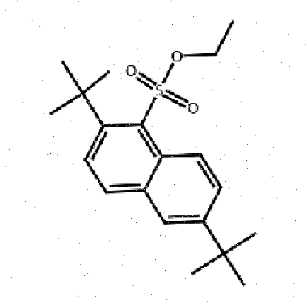 CCOS(=O)(=O)c1c(C(C)(C)C)ccc2cc(C(C)(C)C)ccc12